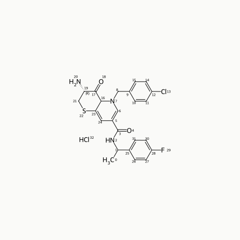 CC(NC(=O)C1=CN(Cc2ccc(Cl)cc2)C2C(=O)[C@@H](N)CSC2=C1)c1ccc(F)cc1.Cl